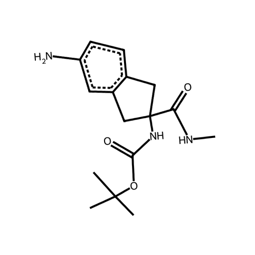 CNC(=O)C1(NC(=O)OC(C)(C)C)Cc2ccc(N)cc2C1